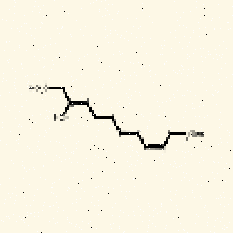 CCCCCCCCCC/C=C\CCCCCC(O)CC(=O)O